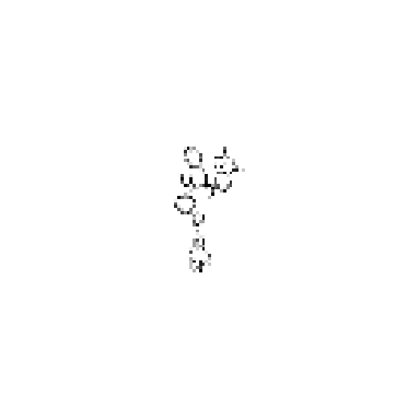 C=C1C=C(C)c2ccc3oc(C(=O)c4cccc(OCCN5CCN(C)CC5)c4)c(-c4ccccc4)c3c2O1